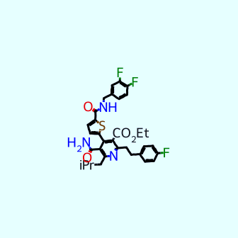 CCOC(=O)c1c(CCc2ccc(F)cc2)nc(CC(C)C)c(C(N)=O)c1-c1ccc(C(=O)NCc2ccc(F)c(F)c2)s1